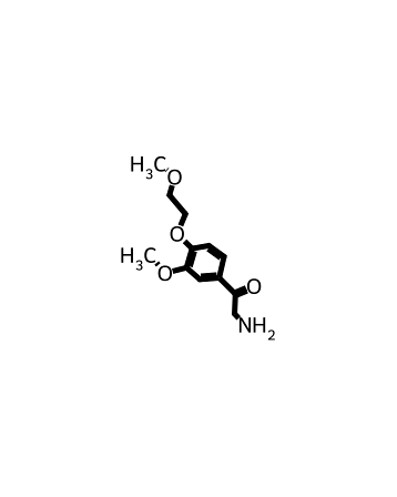 COCCOc1ccc(C(=O)CN)cc1OC